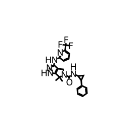 CC1(C)c2[nH]nc(Nc3cccc(C(F)(F)F)n3)c2CN1C(=O)NC1CC1c1ccccc1